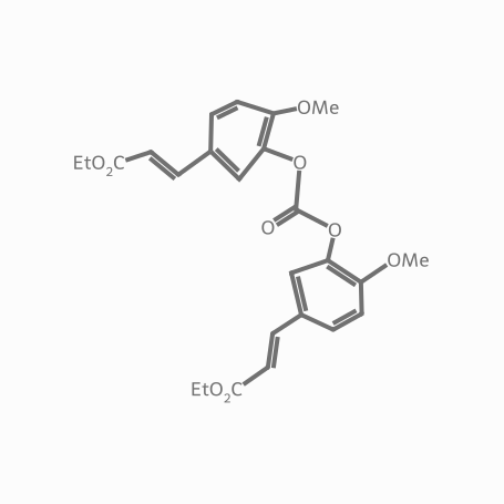 CCOC(=O)/C=C/c1ccc(OC)c(OC(=O)Oc2cc(/C=C/C(=O)OCC)ccc2OC)c1